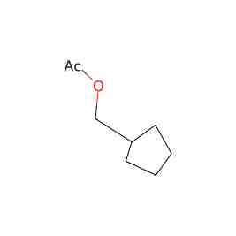 CC(=O)OCC1CCCC1